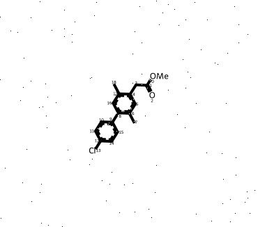 COC(=O)Cc1cc(C)c(-c2ccc(Cl)cc2)cc1C